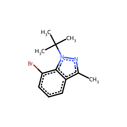 Cc1nn(C(C)(C)C)c2c(Br)cccc12